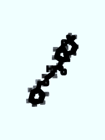 CC1(C)C=Cc2cc(C(=O)NCCOCc3ccccc3)ccc2O1